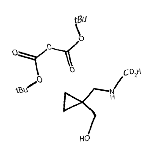 CC(C)(C)OC(=O)OC(=O)OC(C)(C)C.O=C(O)NCC1(CO)CC1